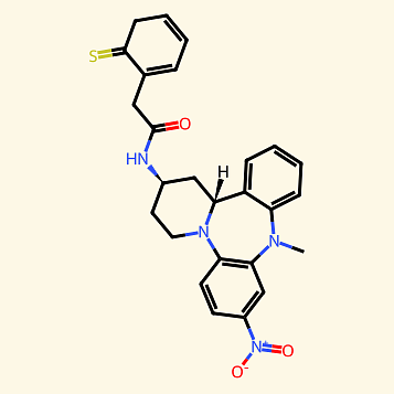 CN1c2ccccc2[C@H]2C[C@H](NC(=O)CC3=CC=CCC3=S)CCN2c2ccc([N+](=O)[O-])cc21